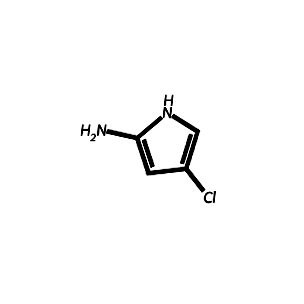 Nc1cc(Cl)c[nH]1